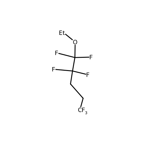 CCOC(F)(F)C(F)(F)CCC(F)(F)F